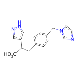 O=C(O)C(Cc1ccc(Cn2ccnc2)cc1)c1cn[nH]c1